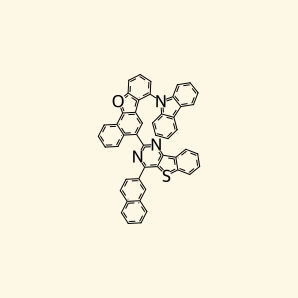 c1ccc2cc(-c3nc(-c4cc5c(oc6cccc(-n7c8ccccc8c8ccccc87)c65)c5ccccc45)nc4c3sc3ccccc34)ccc2c1